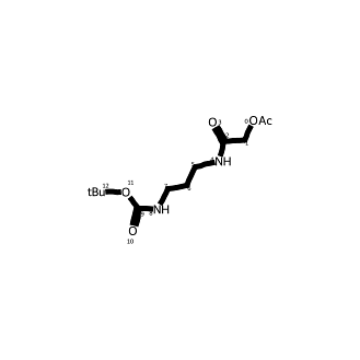 CC(=O)OCC(=O)NCCCNC(=O)OC(C)(C)C